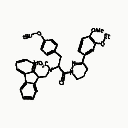 CCOc1cc(C2=NN(C(=O)C(Cc3ccc(OC(C)(C)C)cc3)N(CC3c4ccccc4-c4ccccc43)C(=O)O)CCC2)ccc1OC